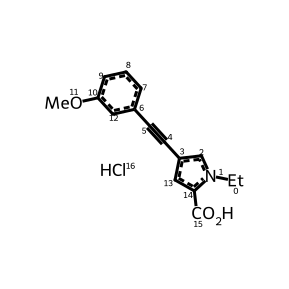 CCn1cc(C#Cc2cccc(OC)c2)cc1C(=O)O.Cl